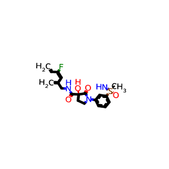 C=C/C(F)=C\C(=C)CNC(=O)[C@@]1(O)CCN(c2cccc([S@](C)(=N)=O)c2)C1=O